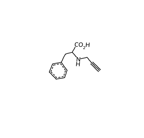 C#CCNC(Cc1ccccc1)C(=O)O